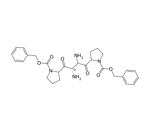 NC(C(=O)C1CCCN1C(=O)OCc1ccccc1)[C@H](N)C(=O)C1CCCN1C(=O)OCc1ccccc1